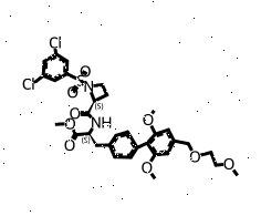 COCCOCc1cc(OC)c(-c2ccc(C[C@H](NC(=O)[C@@H]3CCN3S(=O)(=O)c3cc(Cl)cc(Cl)c3)C(=O)OC)cc2)c(OC)c1